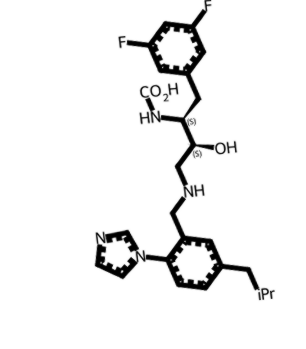 CC(C)Cc1ccc(-n2ccnc2)c(CNC[C@H](O)[C@H](Cc2cc(F)cc(F)c2)NC(=O)O)c1